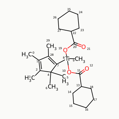 CC1=C(C)C(C)(C)[C]([Ti]([CH3])([O]C(=O)C2CCCCC2)[O]C(=O)C2CCCCC2)=C1C